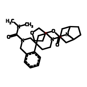 CN(C)C(=O)N1Cc2ccccc2C2(CCN(C3CC4CCC(C3)N4C(=O)OC3CCOC3)CC2)C1